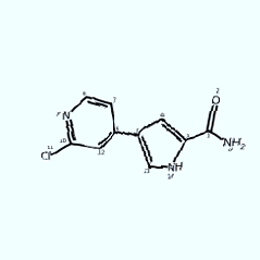 NC(=O)c1cc(-c2ccnc(Cl)c2)c[nH]1